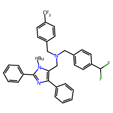 CCCCn1c(-c2ccccc2)nc(-c2ccccc2)c1CN(Cc1ccc(C(F)F)cc1)Cc1ccc(C(F)(F)F)cc1